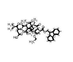 CCO[C@@H]1C[C@@H](C(=O)N(C)C2(C(=O)N(C)C(C(=O)N(C)C(CC(=O)O)C(=O)N(C)C)C(CC)CC)CC(C)(C)C2)N(C(=O)OCC2c3ccccc3-c3ccccc32)C1